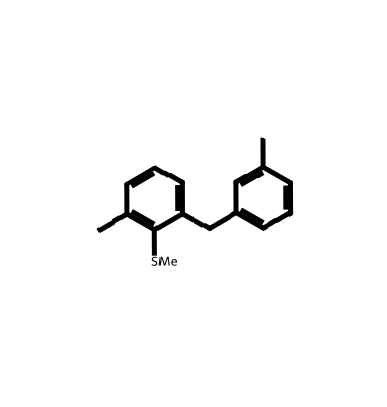 CSc1c(C)cccc1Cc1cccc(C)c1